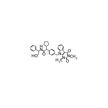 Cn1c(=O)c2c3ccccc3n(Cc3ccc(C(C(=O)NC(CO)c4ccccc4)C4CCCC4)cc3)c2n(C)c1=O